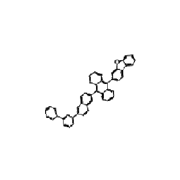 c1ccc(-c2cccc(-c3ccc4cc(-c5c6ccccc6c(-c6ccc7c(c6)oc6ccccc67)c6ccccc56)ccc4c3)c2)cc1